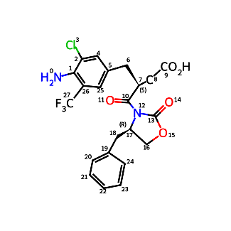 Nc1c(Cl)cc(C[C@@H](CC(=O)O)C(=O)N2C(=O)OC[C@H]2Cc2ccccc2)cc1C(F)(F)F